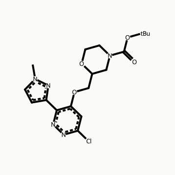 Cn1ccc(-c2nnc(Cl)cc2OCC2CN(C(=O)OC(C)(C)C)CCO2)n1